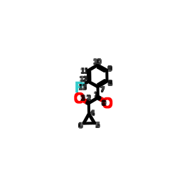 O=C(C(=O)C1CC1)c1ccccc1F